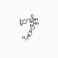 CN1CCN(c2ccc(NC3=N/C(=C\c4ccc5ncsc5c4)C(=O)N3)nc2)CC1